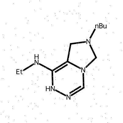 CCCCN1CC2=C(NCC)NN=CN2C1